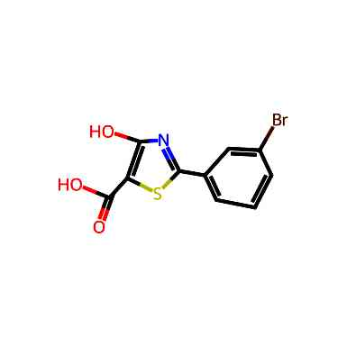 O=C(O)c1sc(-c2cccc(Br)c2)nc1O